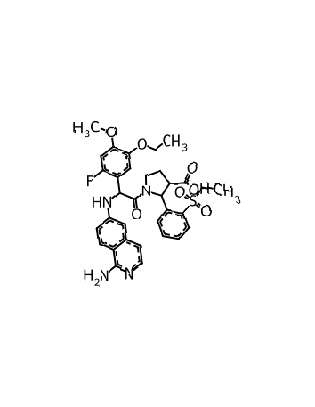 CCOc1cc(C(Nc2ccc3c(N)nccc3c2)C(=O)N2CCC(C(=O)O)C2c2ccccc2S(=O)(=O)CC)c(F)cc1OC